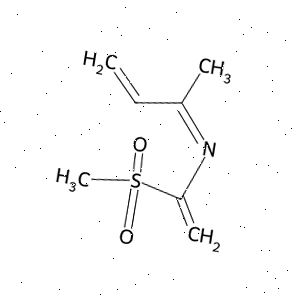 C=C/C(C)=N\C(=C)S(C)(=O)=O